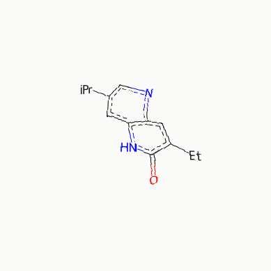 CCc1cc2ncc(C(C)C)cc2[nH]c1=O